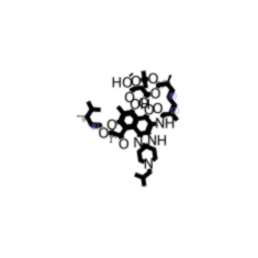 COC(C)(C)O[C@H](OC(=O)CC(=O)O)[C@@H](C)/C=C/C=C(/C)C(=O)NC1=C2NC3(CCN(CC(C)C)CC3)N=C2c2c(c(O)c(C)c3c2C(=O)[C@@](C)(O/C=C/[C@H](C)C(C)C)O3)C1=O